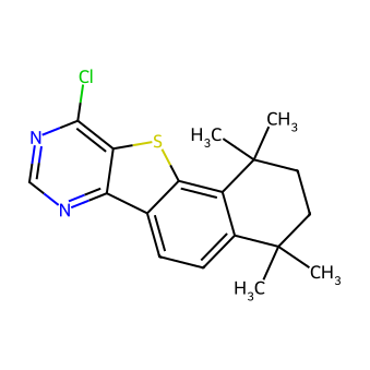 CC1(C)CCC(C)(C)c2c1ccc1c2sc2c(Cl)ncnc21